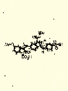 COc1ccc2c(c1)[C@]1(C[C@H]1c1ccc3c(Nc4ncc(S(=O)(=O)C(C)C)cc4OC)nn(C(=O)OC(C)(C)C)c3c1)C(=O)N2C(=O)O